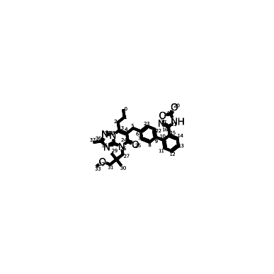 CCCc1c(Cc2ccc(-c3ccccc3-c3noc(=O)[nH]3)cc2)c(=O)n(CC(C)(C)COC)c2nc(C)nn12